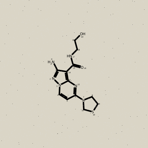 Nc1nn2ccc(N3CCSC3)nc2c1C(=O)NCCO